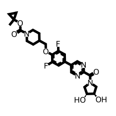 CC1(OC(=O)N2CCC(COc3c(F)cc(-c4cnc(C(=O)N5C[C@@H](O)[C@H](O)C5)nc4)cc3F)CC2)CC1